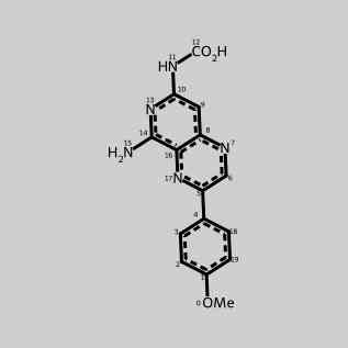 COc1ccc(-c2cnc3cc(NC(=O)O)nc(N)c3n2)cc1